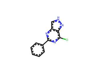 Clc1nc(-c2[c]cccc2)nc2c[nH]nc12